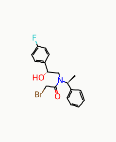 C[C@@H](c1ccccc1)N(C[C@H](O)c1ccc(F)cc1)C(=O)CBr